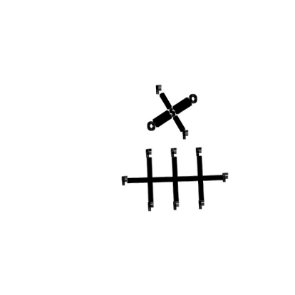 FC(F)(F)C(F)(F)C(F)(F)F.O=S(=O)(F)F